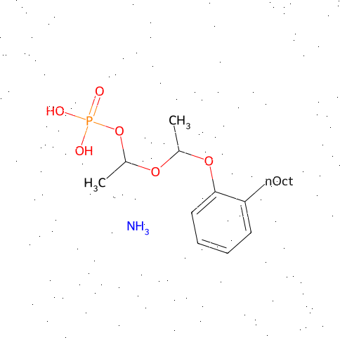 CCCCCCCCc1ccccc1OC(C)OC(C)OP(=O)(O)O.N